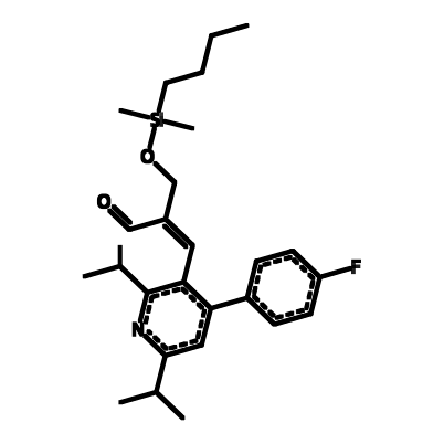 CCCC[Si](C)(C)OCC(C=O)=Cc1c(-c2ccc(F)cc2)cc(C(C)C)nc1C(C)C